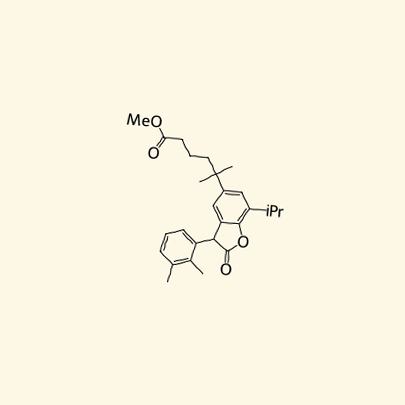 COC(=O)CCCC(C)(C)c1cc(C(C)C)c2c(c1)C(c1cccc(C)c1C)C(=O)O2